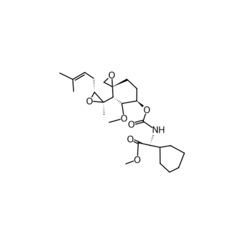 COC(=O)[C@H](NC(=O)O[C@@H]1CC[C@]2(CO2)[C@@H]([C@@]2(C)O[C@@H]2CC=C(C)C)C1OC)C1CCCCC1